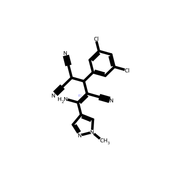 Cn1cc(/C(N)=C(\C#N)C(c2cc(Cl)cc(Cl)c2)C(C#N)C#N)cn1